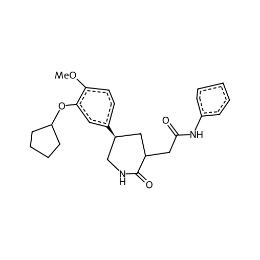 COc1ccc([C@@H]2CNC(=O)C(CC(=O)Nc3ccccc3)C2)cc1OC1CCCC1